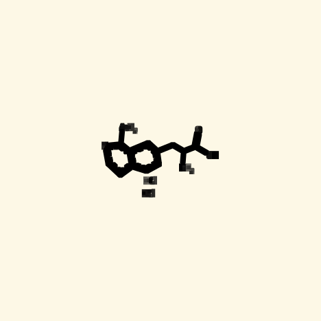 Cl.Cl.NC(Cc1ccc2ccnc([AsH2])c2c1)C(=O)O